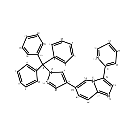 c1ccc(C(c2ccccc2)(c2ccccc2)n2cc(-c3ccc4ncc(-c5ccccn5)n4c3)cn2)cc1